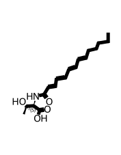 CCCCCC=CC=CC=CC=CC(=O)N[C@H](C(=O)O)[C@@H](C)O